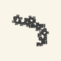 CC(C)NC(=O)O[C@H]1CO[C@@H](c2cc(Nc3nccc4nc(CN5CCOCC5)cn34)n[nH]2)[C@H]1F